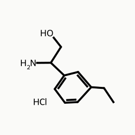 CCc1cccc(C(N)CO)c1.Cl